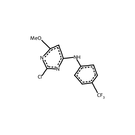 COc1cc(Nc2ccc(C(F)(F)F)cc2)nc(Cl)n1